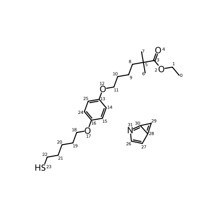 CCOC(=O)C(C)(C)CCCCOc1ccc(OCCCCCS)cc1.c1cc2cc-2n1